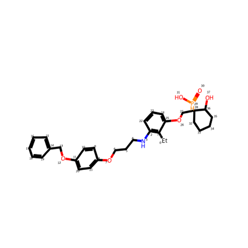 CCc1c(NCCCOc2ccc(OCc3ccccc3)cc2)cccc1OCC1([PH](=O)O)CCCCC1O